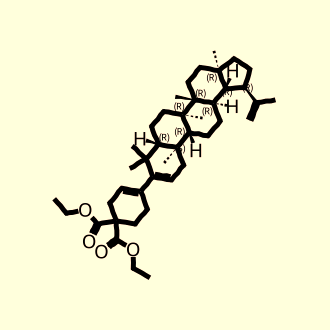 C=C(C)[C@@H]1CC[C@]2(C)CC[C@]3(C)[C@H](CC[C@@H]4[C@@]5(C)CC=C(C6=CCC(C(=O)OCC)(C(=O)OCC)CC6)C(C)(C)[C@@H]5CC[C@]43C)[C@@H]12